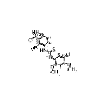 COc1cc(OC)c(NC(=S)Nc2cccc(C(N)=O)c2C#N)cc1Cl